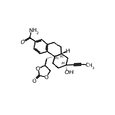 CC#C[C@@]1(O)CC[C@@]2(CC3COC(=O)O3)c3ccc(C(N)=O)cc3CC[C@@H]2C1